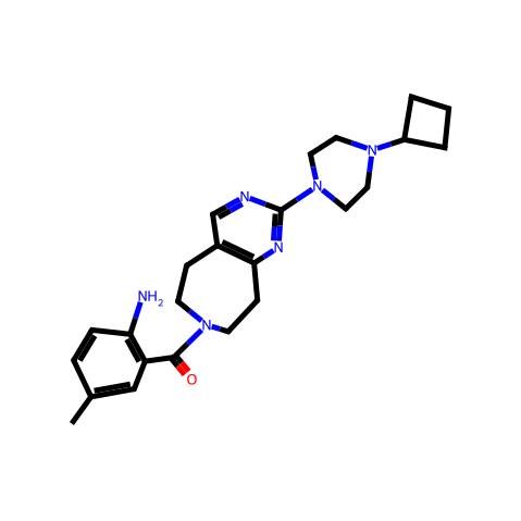 Cc1ccc(N)c(C(=O)N2CCc3cnc(N4CCN(C5CCC5)CC4)nc3CC2)c1